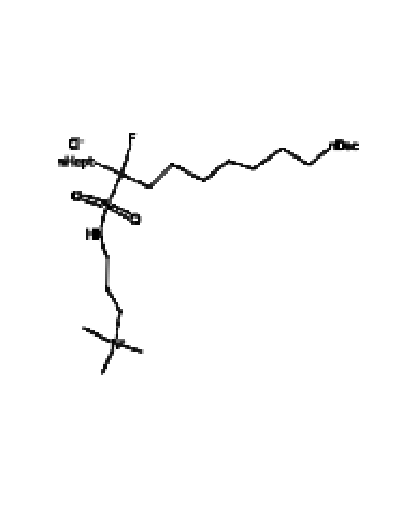 CCCCCCCCCCCCCCCCCC(F)(CCCCCCC)S(=O)(=O)NCCC[N+](C)(C)C.[Cl-]